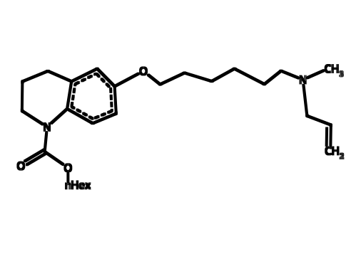 C=CCN(C)CCCCCCOc1ccc2c(c1)CCCN2C(=O)OCCCCCC